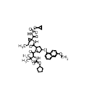 CCC1C[C@]1(NC(=O)C1CC(Oc2cccc3cc(OC)ccc23)CN1C(=O)C(NC(=O)OC1CCCC1)C(C)(C)C)C(=O)NS(=O)(=O)OC1CC1